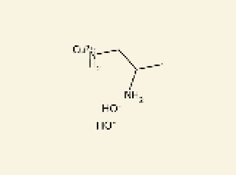 CC(N)CN.[Cu+2].[OH-].[OH-]